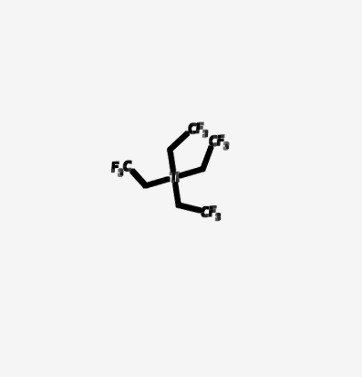 FC(F)(F)[CH2][Ti]([CH2]C(F)(F)F)([CH2]C(F)(F)F)[CH2]C(F)(F)F